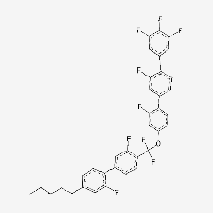 CCCCCc1ccc(-c2ccc(C(F)(F)Oc3ccc(-c4ccc(-c5cc(F)c(F)c(F)c5)c(F)c4)c(F)c3)c(F)c2)c(F)c1